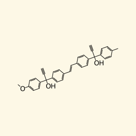 C#CC(O)(c1ccc(C)cc1)c1ccc(/C=C/c2ccc(C(O)(C#C)c3ccc(OC)cc3)cc2)cc1